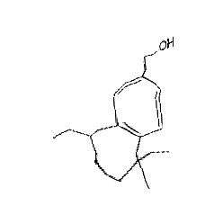 CCC1CCC(C)(C)c2ccc(CO)cc21